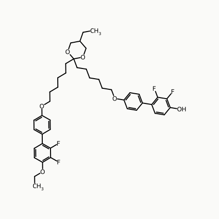 CCOc1ccc(-c2ccc(OCCCCCCC3(CCCCCCOc4ccc(-c5ccc(O)c(F)c5F)cc4)OCC(CC)CO3)cc2)c(F)c1F